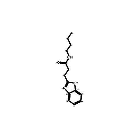 CCCCNC(=O)CCc1nc2ccccc2s1